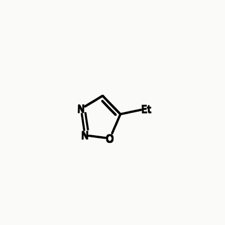 CCc1cnno1